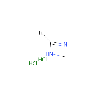 Cl.Cl.[Ti][C]1=NCN1